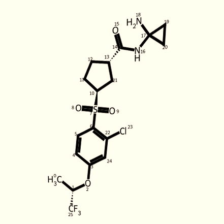 C[C@H](Oc1ccc(S(=O)(=O)[C@H]2CC[C@H](C(=O)NC3(N)CC3)C2)c(Cl)c1)C(F)(F)F